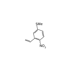 C=Cc1cc(SC)ccc1[N+](=O)[O-]